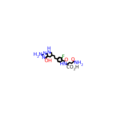 NC(=O)CC[C@H](NC(=O)c1ccc(CCC2CNc3nc(N)nc(O)c3C2)cc1F)C(=O)O